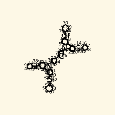 C[Si](C)(c1ccc2c(c1)c1cc([Si](C)(C)C3CCCC3)ccc1n2-c1ccc(-c2ccc(-n3c4ccc([Si](C)(C)C5CCCC5)cc4c4cc([Si](C)(C)C5C6CCCCC65)ccc43)cc2)cc1)C1CCCCC1